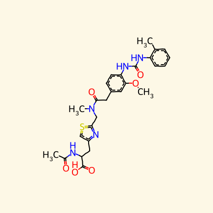 COc1cc(CC(=O)N(C)Cc2nc(CC(NC(C)=O)C(=O)O)cs2)ccc1NC(=O)Nc1ccccc1C